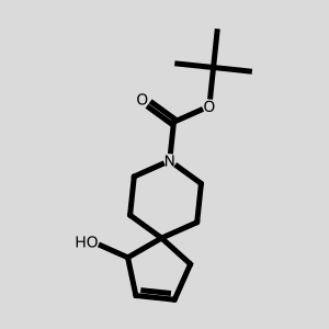 CC(C)(C)OC(=O)N1CCC2(CC=CC2O)CC1